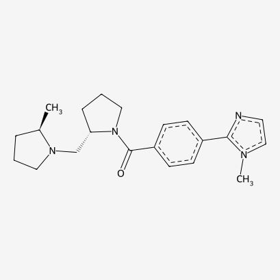 C[C@@H]1CCCN1C[C@@H]1CCCN1C(=O)c1ccc(-c2nccn2C)cc1